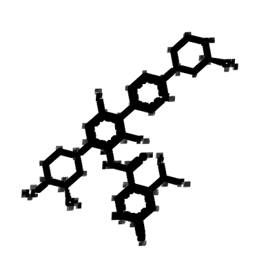 C[C@H]1CN(c2ccc(-c3c(F)cc(N4CCN(C)[C@@H](C)C4)c(NC(=O)c4c[nH]c(=O)cc4C(F)F)c3F)cn2)CCO1